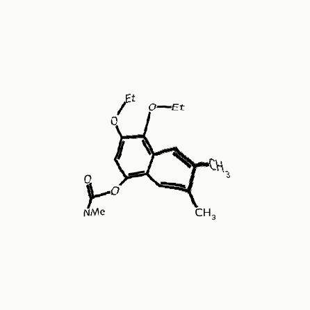 CCOc1cc(OC(=O)NC)c2cc(C)c(C)cc2c1OCC